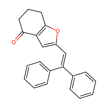 O=C1CCCc2oc(C=C(c3ccccc3)c3ccccc3)cc21